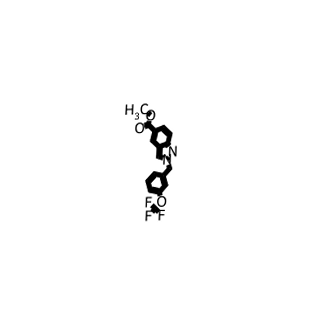 COC(=O)c1ccc2nn(Cc3cccc(OC(F)(F)F)c3)cc2c1